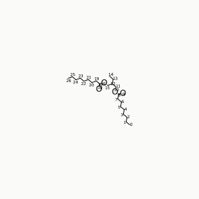 CCCCCCCCC(=O)OCC(CC)COC(=O)CCCCCCCC